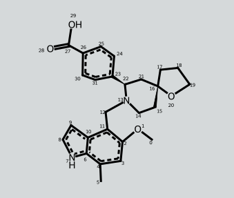 COc1cc(C)c2[nH]ccc2c1CN1CC[C@]2(CCCO2)C[C@@H]1c1ccc(C(=O)O)cc1